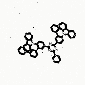 c1ccc(-c2cccc(-c3cc(-c4nc(-c5ccccc5)nc(-c5ccc(-n6c7ccccc7c7ccccc76)c(-c6ccccc6)c5)n4)ccc3-n3c4ccccc4c4ccccc43)c2)cc1